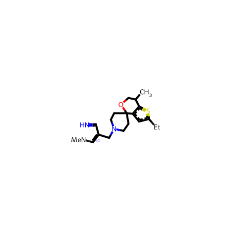 CCc1cc2c(s1)C(C)COC21CCN(C/C(C=N)=C/NC)CC1